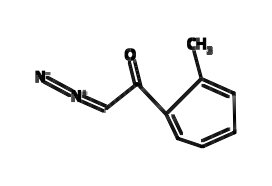 Cc1ccccc1C(=O)C=[N+]=[N-]